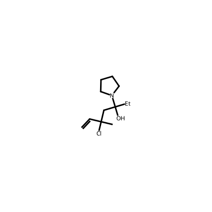 C=CC(C)(Cl)CC(O)(CC)N1CCCC1